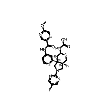 COc1cnc(C(=O)Nc2ccnc([C@]34CN(c5ncc(F)cn5)C[C@H]3CSC(NC(=O)O)N4)c2)cn1